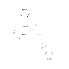 Cc1ccnc(S(=O)(=O)N2CCN(c3cnn(-c4cccc(Cl)c4)c(=O)c3OC3CCC(C)(C)C3)CC2)c1